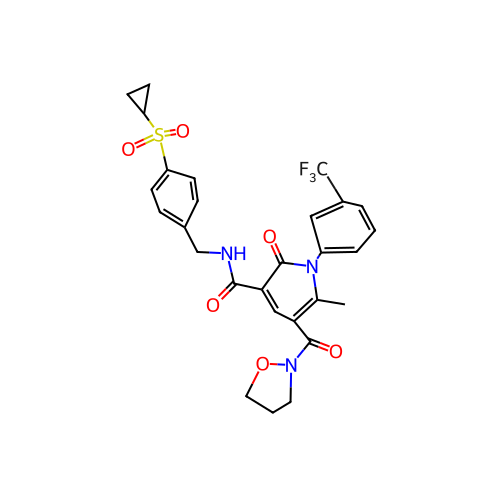 Cc1c(C(=O)N2CCCO2)cc(C(=O)NCc2ccc(S(=O)(=O)C3CC3)cc2)c(=O)n1-c1cccc(C(F)(F)F)c1